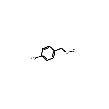 Oc1ccc(COC(F)(F)F)cc1